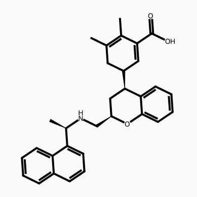 CC1=C(C)C(C(=O)O)=CC([C@@H]2C[C@H](CN[C@H](C)c3cccc4ccccc34)Oc3ccccc32)C1